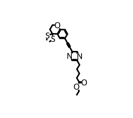 CCOC(=O)CCCCc1cnc(C#Cc2ccc3c(c2)C(SC)(SC)CCO3)cn1